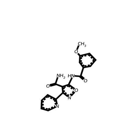 COc1cccc(C(=O)Nc2onc(-c3ccccn3)c2C(N)=O)c1